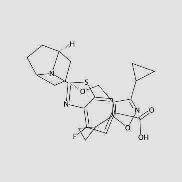 O=C(O)c1cc(F)c2nc(N3C4CC[C@H]3C[C@H](OCc3c(C5CC5)noc3C3CC3)C4)sc2c1